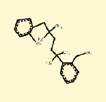 CC(C)(C)Cc1ccccc1C(C)(C)CCC(C)(Cc1ccccc1C(C)(C)C)C(F)(F)F